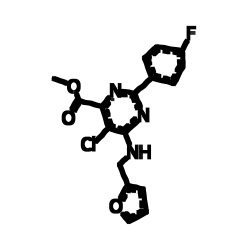 COC(=O)c1nc(-c2ccc(F)cc2)nc(NCc2ccco2)c1Cl